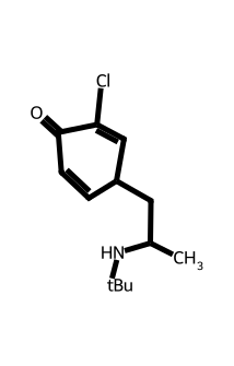 CC(CC1C=CC(=O)C(Cl)=C1)NC(C)(C)C